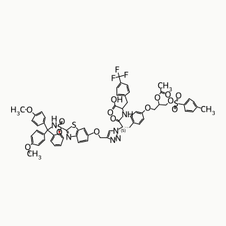 COc1ccc(C(NS(=O)(=O)c2nc3ccc(OCc4cn([C@@H](Cc5ccc(OCC(COS(=O)(=O)c6ccc(C)cc6)OC(C)=O)cc5)C(=O)NC(Cc5ccc(C(F)(F)F)cc5)C(=O)O)nn4)cc3s2)(c2ccccc2)c2ccc(OC)cc2)cc1